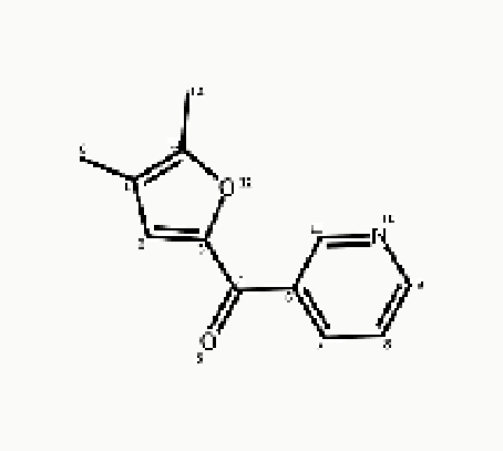 Cc1cc(C(=O)c2cccnc2)oc1C